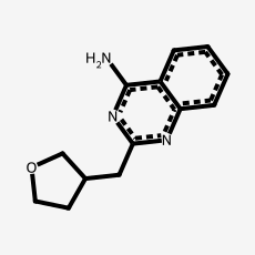 Nc1nc(CC2CCOC2)nc2ccccc12